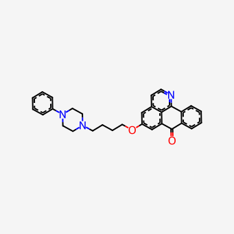 O=C1c2ccccc2-c2nccc3cc(OCCCCN4CCN(c5ccccc5)CC4)cc1c23